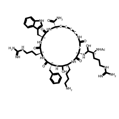 CC(=O)N[C@@H](CCCNC(=N)N)C(O)N[C@H]1CC(=O)NCCCC[C@@H](C(N)=O)NC(=O)[C@H](Cc2c[nH]c3ccccc23)NC(=O)[C@H](CCCNC(=N)N)NC(=O)[C@@H](Cc2ccccc2)NC(O)[C@H](CCCCN)NC1=O